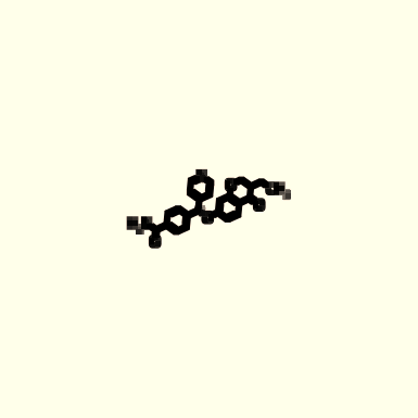 CCC1COc2cc(O[C@H](c3ccncc3)c3ccc(C(N)=O)cc3)ccc2C1=O